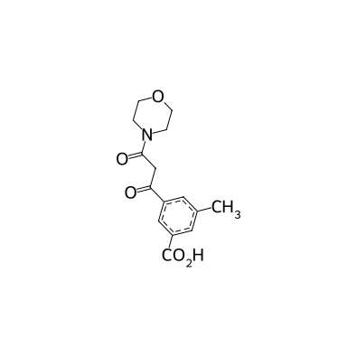 Cc1cc(C(=O)O)cc(C(=O)CC(=O)N2CCOCC2)c1